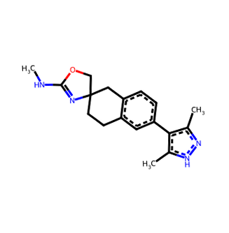 CNC1=NC2(CCc3cc(-c4c(C)n[nH]c4C)ccc3C2)CO1